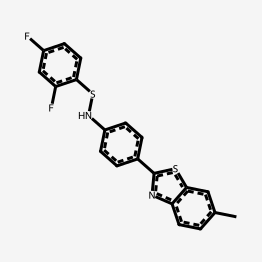 Cc1ccc2nc(-c3ccc(NSc4ccc(F)cc4F)cc3)sc2c1